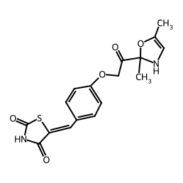 CC1=CNC(C)(C(=O)COc2ccc(/C=C3\SC(=O)NC3=O)cc2)O1